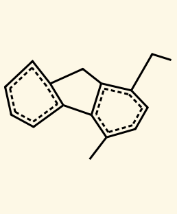 CCc1ccc(C)c2c1Cc1ccccc1-2